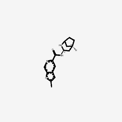 Cc1cc2cc(C(=O)N[C@@H]3C[C@@H]4CCC(C4)N3)ncc2o1